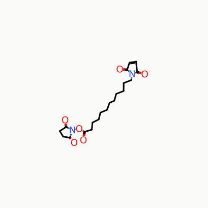 O=C(CCCCCCCCCCCN1C(=O)C=CC1=O)ON1C(=O)CCC1=O